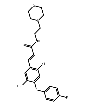 Cc1cc(/C=C/C(=O)NCCN2CCOCC2)c(Cl)cc1Sc1ccc(F)cc1